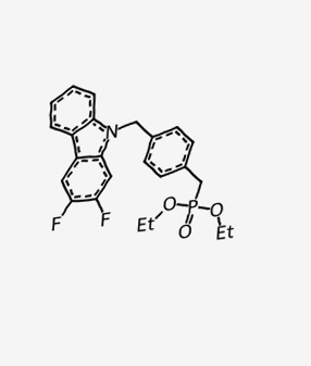 CCOP(=O)(Cc1ccc(Cn2c3ccccc3c3cc(F)c(F)cc32)cc1)OCC